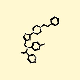 O=C(c1ccnnc1)N(Cc1csc(N2CCN(CCc3ccccc3)CC2)n1)c1ccc(F)cc1